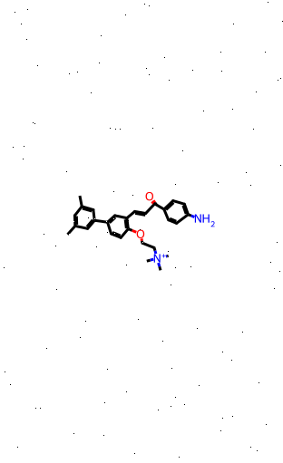 Cc1cc(C)cc(-c2ccc(OCC[N+](C)(C)C)c(/C=C/C(=O)c3ccc(N)cc3)c2)c1